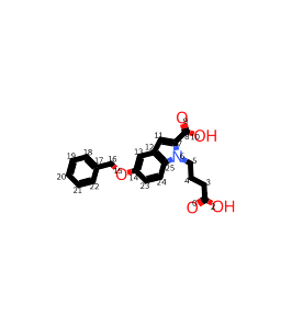 O=C(O)CCCn1c(C(=O)O)cc2cc(OCc3ccccc3)ccc21